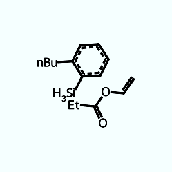 C=COC(=O)CC.CCCCc1ccccc1[SiH3]